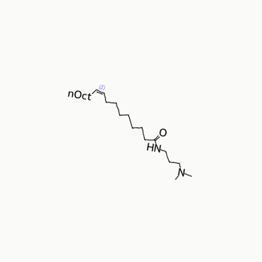 CCCCCCCC/C=C\CCCCCCCC(=O)NCCCN(C)C